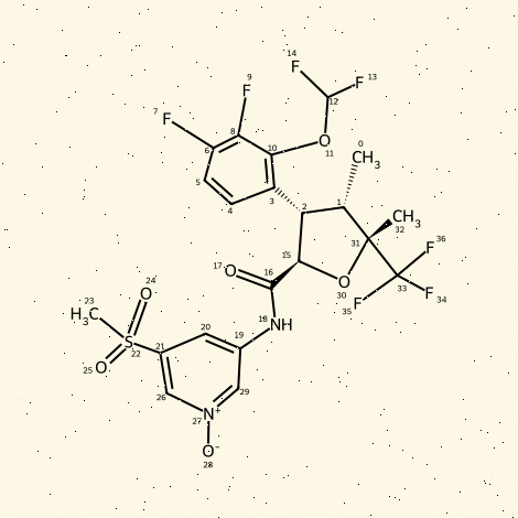 C[C@H]1[C@@H](c2ccc(F)c(F)c2OC(F)F)[C@H](C(=O)Nc2cc(S(C)(=O)=O)c[n+]([O-])c2)O[C@@]1(C)C(F)(F)F